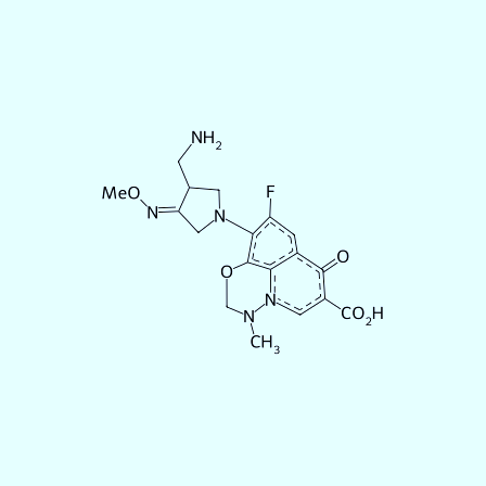 CON=C1CN(c2c(F)cc3c(=O)c(C(=O)O)cn4c3c2OCN4C)CC1CN